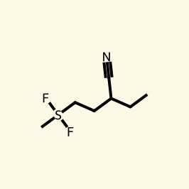 CCC(C#N)CCS(C)(F)F